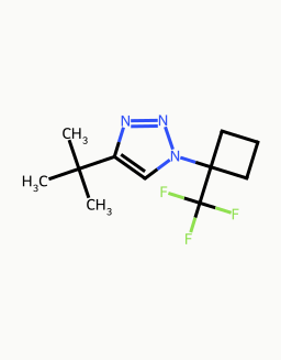 CC(C)(C)c1cn(C2(C(F)(F)F)CCC2)nn1